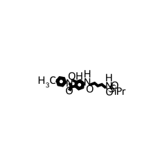 Cc1ccc(N2C(=O)c3ccc(NC(=O)CCCCNS(=O)(=O)C(C)C)cc3C2O)cc1